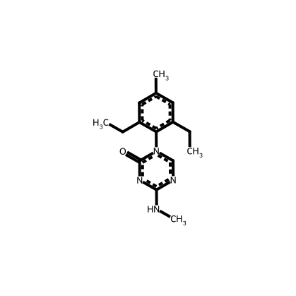 CCc1cc(C)cc(CC)c1-n1cnc(NC)nc1=O